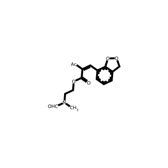 CC(=O)/C(=C/c1cccc2c1OOC2)C(=O)OCCN(C)C=O